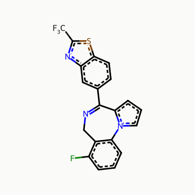 Fc1cccc2c1CN=C(c1ccc3sc(C(F)(F)F)nc3c1)c1cccn1-2